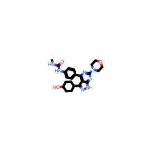 CNC(=O)Nc1ccc(-c2nc(N3CCOCC3)nc3[nH]nc(C4CCC(O)CC4)c23)cc1